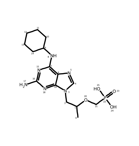 CC(Cn1cnc2c(NC3CCCCC3)nc(N)nc21)OCP(=O)(O)O